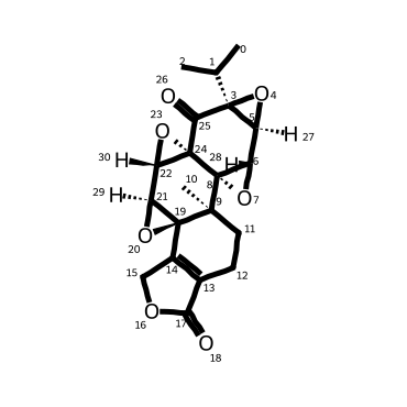 CC(C)[C@]12O[C@H]1[C@@H]1O[C@@]13[C@@]1(C)CCC4=C(COC4=O)[C@@]14O[C@H]4[C@@H]1O[C@@]13C2=O